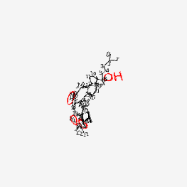 CC(C)CCC[C@](C)(O)C1CCC2C3=CC(=O)C4CC5OC(C)(C)O[C@H]5CC4(C)C3=CCC21C